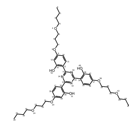 CCCCOCCCOc1ccc(-c2nc(-c3ccc(OCCCOCCCC)cc3O)nc(-c3ccc(OCCCOCCCC)cc3O)n2)c(O)c1